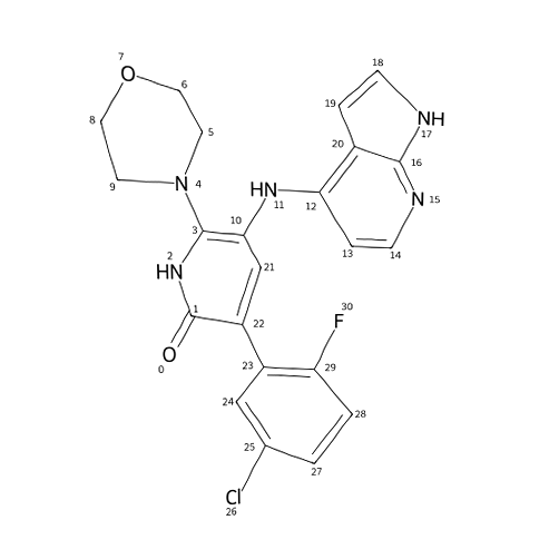 O=c1[nH]c(N2CCOCC2)c(Nc2ccnc3[nH]ccc23)cc1-c1cc(Cl)ccc1F